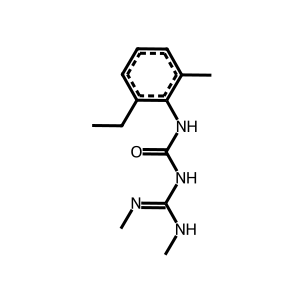 CCc1cccc(C)c1NC(=O)NC(=NC)NC